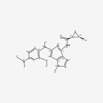 CCc1cc(N(C)C)ncc1N(C)c1cc2c(ncn2C)c(NC(=O)[C@H]2C[C@H]2F)n1